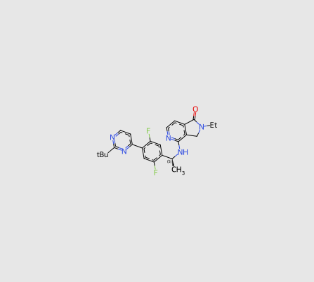 CCN1Cc2c(ccnc2N[C@@H](C)c2cc(F)c(-c3ccnc(C(C)(C)C)n3)cc2F)C1=O